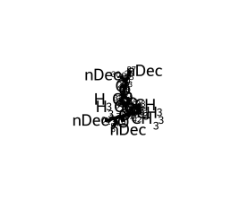 CCCCCCCCCCCCC(CCCCCCCCCCCC)CC(=O)OCC1O[C@H](O[C@H]2OC(COC(=O)CC(CCCCCCCCCCCC)CCCCCCCCCCCC)[C@@H](C)[C@H](C)C2C)C(C)[C@@H](C)[C@@H]1C